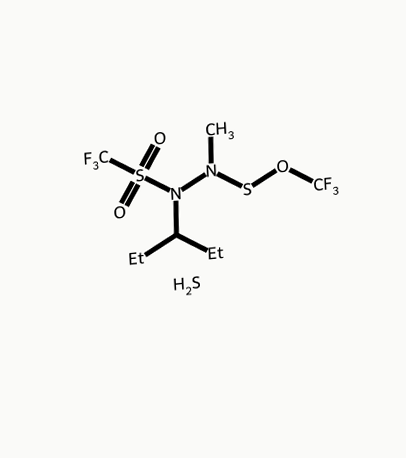 CCC(CC)N(N(C)SOC(F)(F)F)S(=O)(=O)C(F)(F)F.S